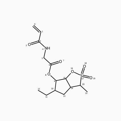 C=CC(=O)NCC(=O)OC1C(CC)CC2C1OS(=O)(=O)C2C